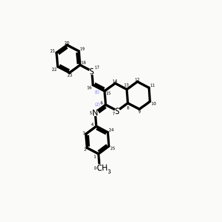 Cc1ccc(/N=C2\SC3CCCCC3C\C2=C/Sc2ccccc2)cc1